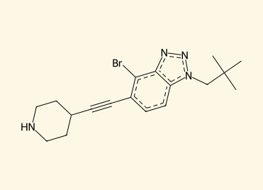 CC(C)(C)Cn1nnc2c(Br)c(C#CC3CCNCC3)ccc21